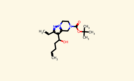 C=CCCC(O)c1c(C=C)nn2c1CN(C(=O)OC(C)(C)C)CC2